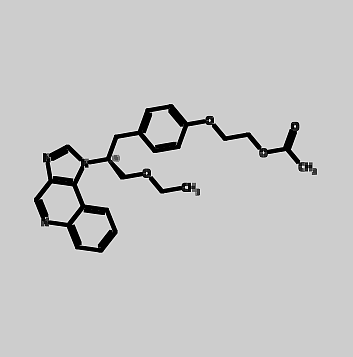 CCOC[C@H](Cc1ccc(OCCOC(C)=O)cc1)n1cnc2cnc3ccccc3c21